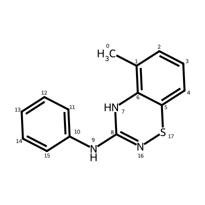 Cc1cccc2c1NC(Nc1ccccc1)=NS2